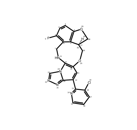 Fc1ccc2c3c1CNc1c(cc(-c4ncccc4Cl)c4nncn14)OC[C@@H]3CO2